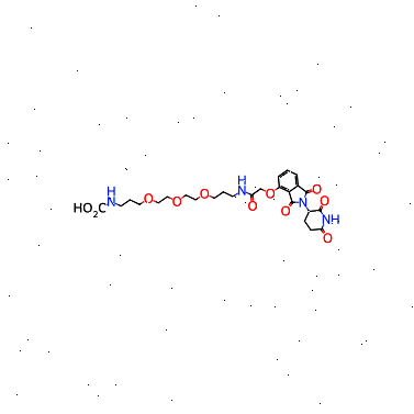 O=C(O)NCCCOCCOCCOCCCNC(=O)COc1cccc2c1C(=O)N(C1CCC(=O)NC1=O)C2=O